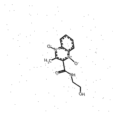 Cc1c(C(=O)NCCO)[n+]([O-])c2ccccc2[n+]1[O-]